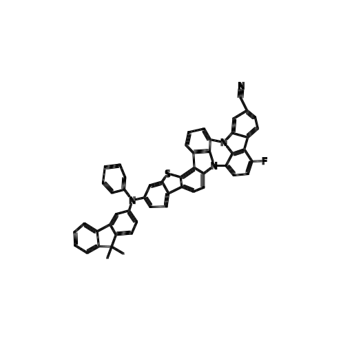 CC1(C)c2ccccc2-c2cc(N(c3ccccc3)c3ccc4c(c3)sc3c4ccc4c3c3cccc5c3n4c3ccc(F)c4c6ccc(C#N)cc6n5c43)ccc21